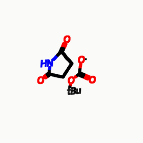 CC(C)(C)OC([O])=O.O=C1CCC(=O)N1